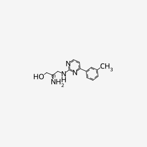 Cc1cccc(-c2ccnc(NC[C@@H](N)CO)n2)c1